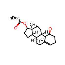 CCCCCCCCCCC(=O)OC1CC[C@H]2[C@@H]3CCC4=CCCC(=O)[C@]4(C)[C@H]3CC[C@]12C